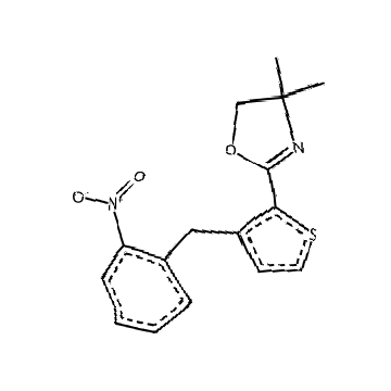 CC1(C)COC(c2sccc2Cc2ccccc2[N+](=O)[O-])=N1